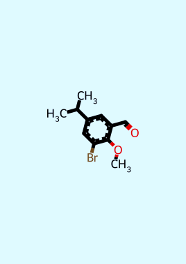 COc1c(Br)cc(C(C)C)cc1C=O